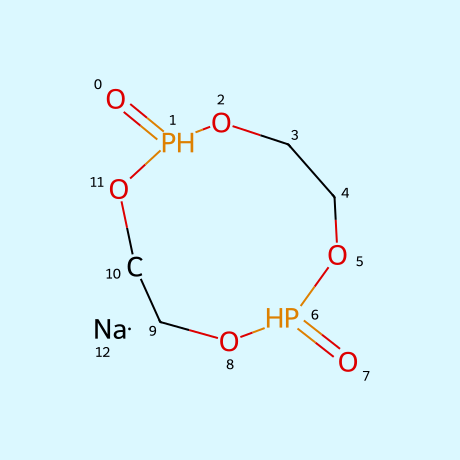 O=[PH]1OCCO[PH](=O)OCCO1.[Na]